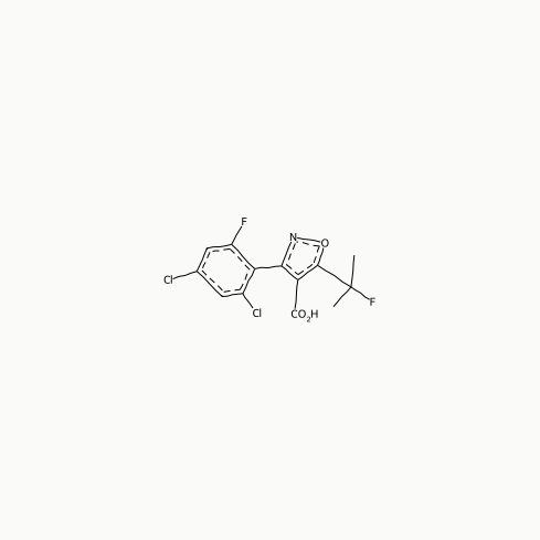 CC(C)(F)c1onc(-c2c(F)cc(Cl)cc2Cl)c1C(=O)O